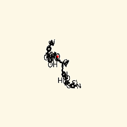 CCO/N=C(\CCCCC(=O)NC(C(=O)N1C[C@H](O)C[C@H]1C(=O)NC(C)c1ccc(-c2scnc2C)cc1)C(C)(C)C)CCCc1ccc(C(=O)N[C@H]2C(C)(C)[C@H](Oc3ccc(C#N)c(Cl)c3)C2(C)C)nc1